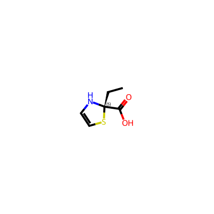 CC[C@]1(C(=O)O)NC=CS1